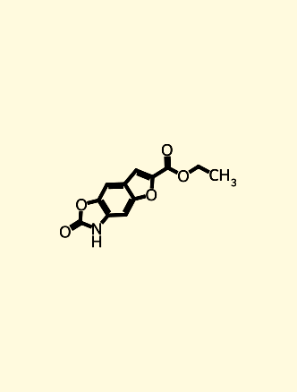 CCOC(=O)c1cc2cc3oc(=O)[nH]c3cc2o1